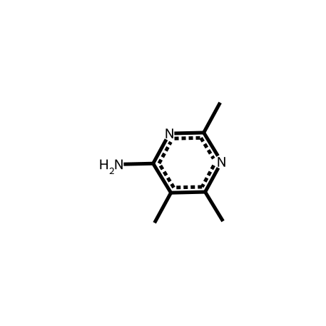 Cc1nc(C)c(C)c(N)n1